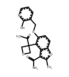 Cc1oc2ccc(OCc3cccnc3O)c(C3(C(N)=O)COC3)c2c1C(N)=O